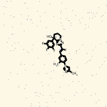 Cc1cn(-c2ccc(/C=C(\F)c3nc4n(n3)CCC[C@@]4(O)c3cc(F)c(F)c(F)c3)cc2C)cn1